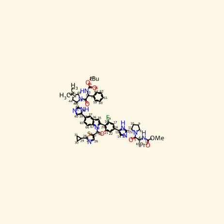 COC(=O)N[C@H](C(=O)N1CCC[C@H]1c1ncc(-c2cc(F)c3c(c2)O[C@@H](c2cnc(C4CC4)s2)n2c-3cc3cc(-c4cnc([C@@H]5C[Si](C)(C)CN5C(=O)C(NC(=O)OC(C)(C)C)c5ccccc5)[nH]4)ccc32)[nH]1)C(C)C